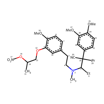 CCC(N(C)CCc1ccc(OC)c(OCC(C)O[N+](=O)[O-])c1)C(C#N)(c1ccc(OC)c(OC)c1)C(C)C